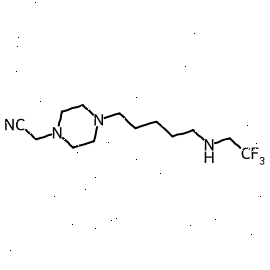 N#CCN1CCN(CCCCCNCC(F)(F)F)CC1